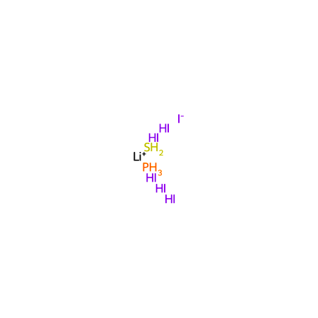 I.I.I.I.I.P.S.[I-].[Li+]